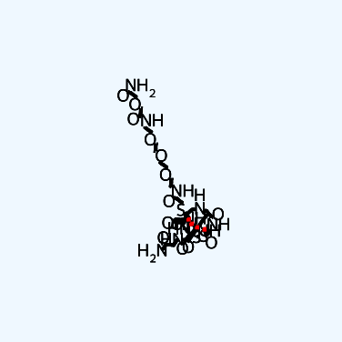 NC(=O)CNC(=O)C1NC(=O)C2(SCC(=O)NCCOCCOCCOCCNC(=O)COCC(N)=O)CNCC(=O)NC(SS1)C(=O)NCC(=O)NCC(=O)N2